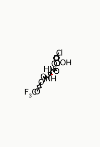 O=C(COC1CC(OC(F)(F)F)C1)NC12CC(NC(=O)[C@H]3C[C@@H](O)c4cc(Cl)ccc4O3)(C1)C2